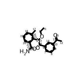 CCON(C(=O)c1cccc(C(C)=O)c1)c1c(C)cccc1C(N)=O